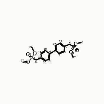 COP(=O)(Cc1ccc(-c2ccc(CP(=O)(OC)OC)cc2)cc1)OC